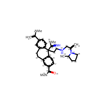 C=C(NC)c1ccc2c(c1)CCc1cc(C(=O)NC)ccc1C2(CCNCC(=C)N1CCCC1C#N)C(=N)NC